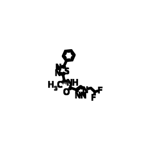 C[C@@H](NC(=O)c1cn(CC(F)F)nn1)c1nnc(-c2ccccc2)s1